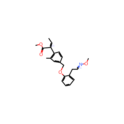 C/C=C(\C(=O)OC)c1ccc(COc2ccccc2C/C=N/OC)cc1C